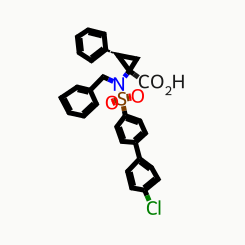 O=C(O)C1(N(Cc2ccccc2)S(=O)(=O)c2ccc(-c3ccc(Cl)cc3)cc2)C[C@H]1c1ccccc1